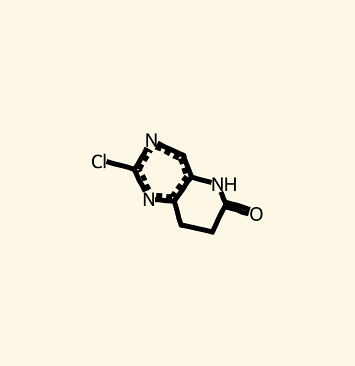 O=C1CCc2nc(Cl)ncc2N1